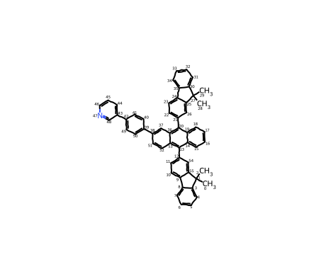 CC1(C)c2ccccc2-c2ccc(-c3c4ccccc4c(-c4ccc5c(c4)C(C)(C)c4ccccc4-5)c4cc(-c5ccc(-c6cccnc6)cc5)ccc34)cc21